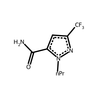 C[CH]Cn1nc(C(F)(F)F)cc1C(N)=O